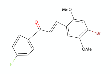 COc1cc(/C=C/C(=O)c2ccc(F)cc2)c(OC)cc1Br